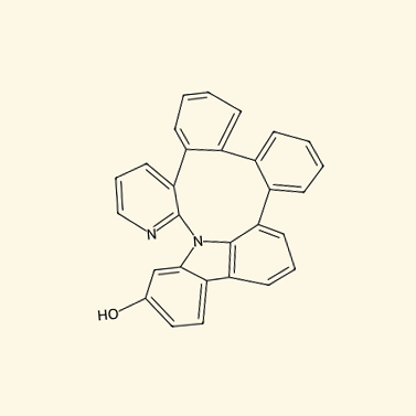 Oc1ccc2c3cccc4c5ccccc5c5ccccc5c5cccnc5n(c2c1)c43